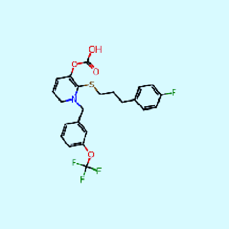 O=C(O)OC1=C(SCCCc2ccc(F)cc2)N(Cc2cccc(OC(F)(F)F)c2)CC=C1